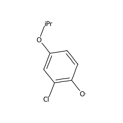 CC(C)Oc1ccc([O])c(Cl)c1